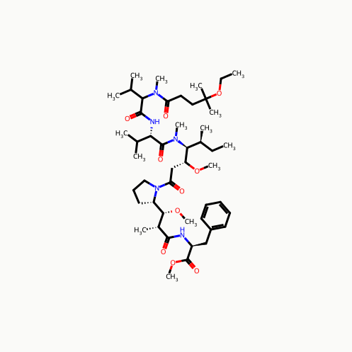 CCOC(C)(C)CCC(=O)N(C)C(C(=O)N[C@H](C(=O)N(C)[C@@H]([C@@H](C)CC)[C@@H](CC(=O)N1CCC[C@H]1[C@H](OC)[C@@H](C)C(=O)N[C@@H](Cc1ccccc1)C(=O)OC)OC)C(C)C)C(C)C